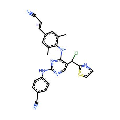 Cc1cc(/C=C/C#N)cc(C)c1Nc1nc(Nc2ccc(C#N)cc2)ncc1C(Cl)c1nccs1